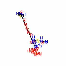 CC1(CCC(=O)NCCSSCCC(=O)N[C@@H](CCCCCC(=O)CCOCCOCCOCCOCCCC(=O)CCCC[C@@H]2SC[C@@H]3NC(=O)N[C@@H]32)C(=O)NCCCc2cn([C@@H]3O[C@H](COP(=O)(O)O)[C@H](OP(=O)(O)O)C3O)c(=O)nc2N)N=N1